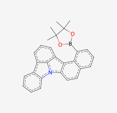 CC1(C)OB(c2cccc3ccc4c(c5cccc6c7ccccc7n4c65)c23)OC1(C)C